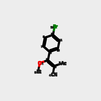 CCO/C(=C(\C#N)C(C)=O)c1ccc(Br)cc1